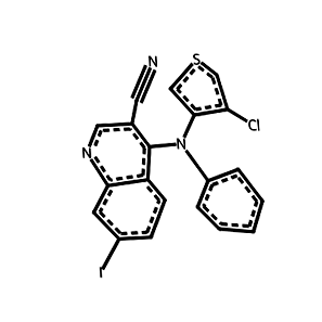 N#Cc1cnc2cc(I)ccc2c1N(c1ccccc1)c1cscc1Cl